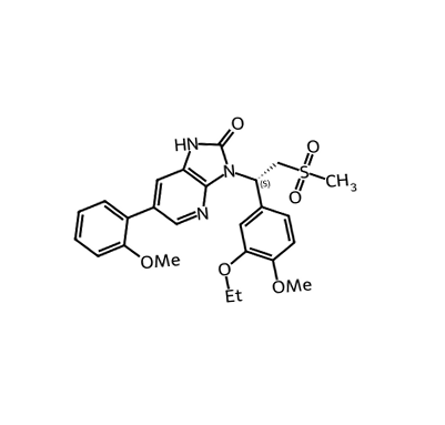 CCOc1cc([C@@H](CS(C)(=O)=O)n2c(=O)[nH]c3cc(-c4ccccc4OC)cnc32)ccc1OC